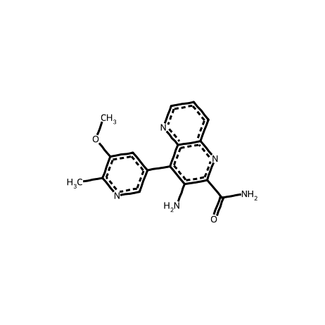 COc1cc(-c2c(N)c(C(N)=O)nc3cccnc23)cnc1C